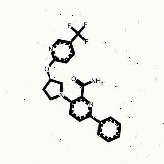 NC(=O)c1nc(-c2ccccc2)ccc1N1CC[C@@H](Oc2ccc(C(F)(F)F)cn2)C1